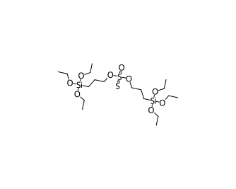 CCO[Si](CCCOS(=O)(=S)OCCC[Si](OCC)(OCC)OCC)(OCC)OCC